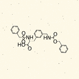 O=C(NCc1cccc(C[C@@H](NS(=O)(=O)Cc2ccccc2)C(=O)O)c1)OCc1ccccc1